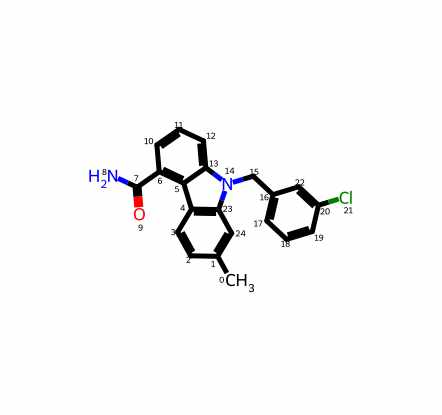 Cc1c[c]c2c3c(C(N)=O)cccc3n(Cc3cccc(Cl)c3)c2c1